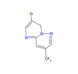 FC(F)(F)C1=CC2=NC=C(Br)CN2N=C1